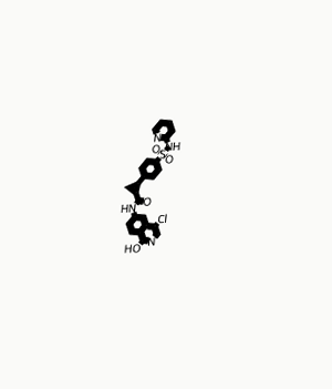 O=C(Nc1ccc2c(O)ncc(Cl)c2c1)C1CC1c1ccc(S(=O)(=O)Nc2ccccn2)cc1